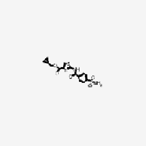 NS(=O)(=O)c1ccc(C(=O)Nc2nc(C(=O)OCC3CC3)cs2)cc1